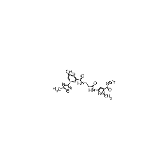 CCCOC(=O)c1cc(NC(=O)CCNC(=O)c2cc(C)cc(-c3noc(C)n3)c2)nn1C